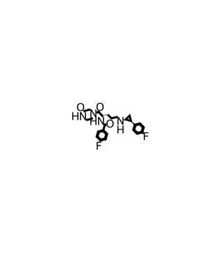 O=C1CN(C(=O)[C@H](CCCN[C@@H]2C[C@H]2c2ccc(F)cc2)NC(=O)c2ccc(F)cc2)CCN1